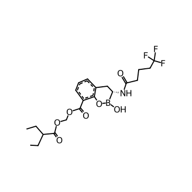 CCC(CC)C(=O)OCOC(=O)c1cccc2c1OB(O)[C@@H](NC(=O)CCCC(F)(F)F)C2